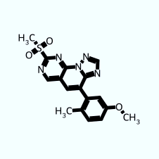 COc1ccc(C)c(-c2cc3cnc(S(C)(=O)=O)nc3n3ncnc23)c1